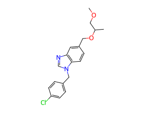 COCC(C)OCc1ccc2c(c1)ncn2Cc1ccc(Cl)cc1